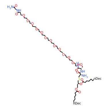 CCCCCCCCCCCCCCCC(=O)OCC[C@@H](CSC[C@H](N)C(=O)N[C@@H](CO)C(=O)NCCOCCOCCOCCOCCOCCOCCOCCOCCOCCOCCOCCOCCC(=O)NCC(N)=O)OC(=O)CCCCCCCCCCCCCCC